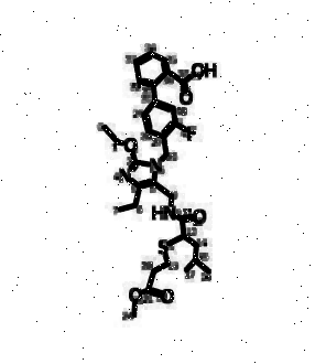 CCOc1nc(CC)c(CNC(=O)C(CC(C)C)SCCC(=O)OC)n1Cc1ccc(-c2ccccc2C(=O)O)cc1F